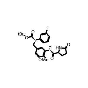 COc1ccc(CN(C(=O)OC(C)(C)C)c2cccc(F)c2)cc1NC(=O)C1CCC(=O)N1